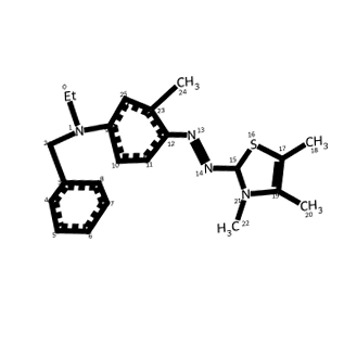 CCN(Cc1ccccc1)c1ccc(N=NC2SC(C)=C(C)N2C)c(C)c1